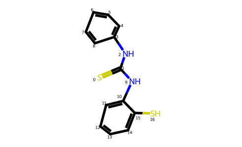 S=C(Nc1ccccc1)Nc1ccccc1S